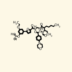 CCCCCC(C(=O)NCNC(=O)c1ccc(-c2cc(OCC)cc(O[PH](=O)O)c2)o1)C(CC)N(C=O)OC(=O)c1ccc(N2CCOCC2)cc1